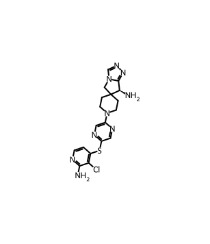 Nc1nccc(Sc2cnc(N3CCC4(CC3)Cn3cnnc3[C@H]4N)cn2)c1Cl